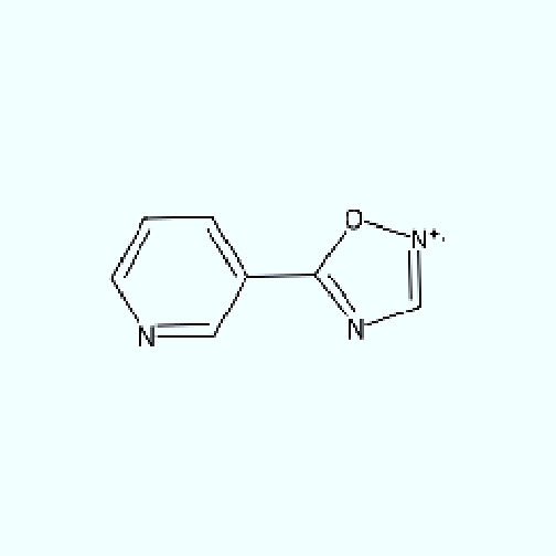 C1=[N+]OC(c2cccnc2)=N1